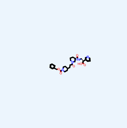 O=C(NC[C@H](C(=O)O)c1cccnc1)[C@H]1CCCN(C(=O)CCC2CCN(C(=O)OCc3ccccc3)CC2)C1